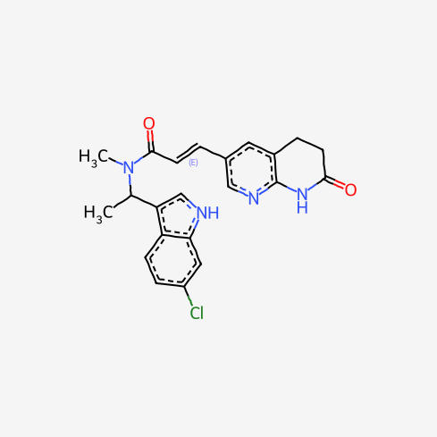 CC(c1c[nH]c2cc(Cl)ccc12)N(C)C(=O)/C=C/c1cnc2c(c1)CCC(=O)N2